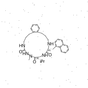 CC(C)[C@H]1NC(=O)[C@@H](Cc2cccc3ccccc23)NCCCc2ccccc2CCCNC(=O)NN(C)C1=O